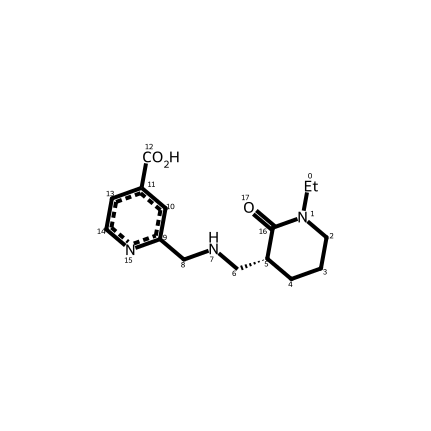 CCN1CCC[C@H](CNCc2cc(C(=O)O)ccn2)C1=O